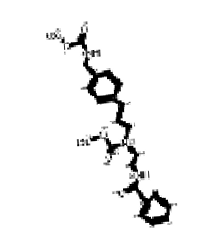 CC(C)(C)OC(=O)NCc1ccc(CCCN(CCNC(=O)c2ccccc2)C(=O)OC(C)(C)C)cc1